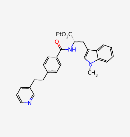 CCOC(=O)[C@H](Cc1cn(C)c2ccccc12)NC(=O)c1ccc(CCc2cccnc2)cc1